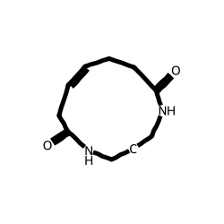 O=C1C/C=C\CCC(=O)NCCCN1